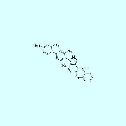 CC(C)(C)c1ccc2c(ccc3c2cc(C(C)(C)C)c2c3ccn3cc4c5c(ccc4c23)Sc2ccccc2N5)c1